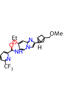 CCOc1cc2nc([C@@H]3CC4(COC)CC3C4)cn2cc1NC(=O)c1cccc(C(F)(F)F)n1